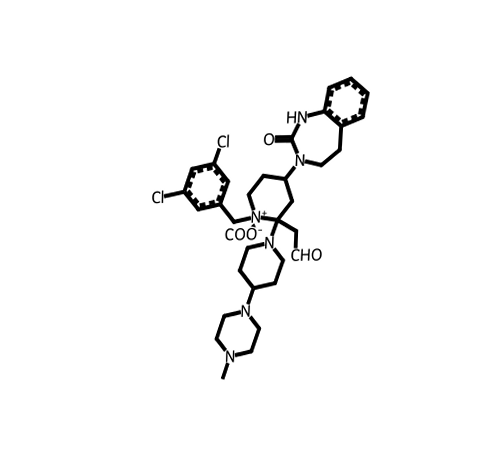 CN1CCN(C2CCN(C3(CC=O)CC(N4CCc5ccccc5NC4=O)CC[N@+]3(Cc3cc(Cl)cc(Cl)c3)C(=O)[O-])CC2)CC1